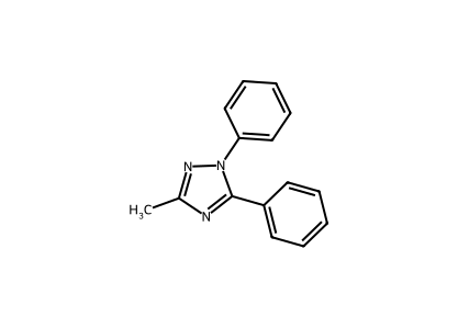 Cc1nc(-c2ccccc2)n(-c2ccccc2)n1